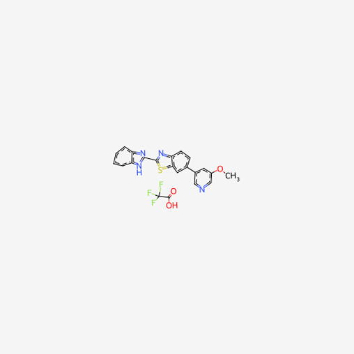 COc1cncc(-c2ccc3nc(-c4nc5ccccc5[nH]4)sc3c2)c1.O=C(O)C(F)(F)F